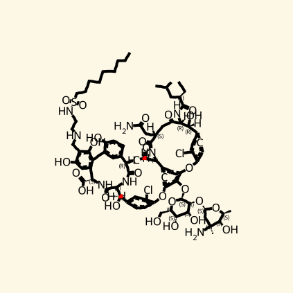 CCCCCCCCCS(=O)(=O)NCCNCc1c(O)cc2c(c1O)-c1cc(ccc1O)[C@H]1CC(=O)[C@@H]3NC(=O)[C@H](CC(N)=O)CC(=O)[C@H](NC(=O)[C@H](CC)CC(C)C)[C@H](O)c4ccc(c(Cl)c4)Oc4cc3cc(c4O[C@@H]3O[C@H](CO)[C@@H](O)[C@H](O)[C@H]3O[C@H]3C[C@](C)(N)[C@H](O)[C@H](C)O3)Oc3ccc(cc3Cl)[C@@H](O)[C@H](NC1=O)C(=O)N[C@@H]2C(=O)O